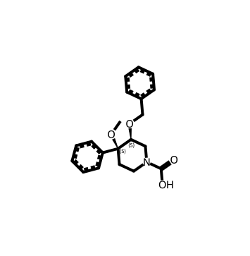 CO[C@]1(c2ccccc2)CCN(C(=O)O)C[C@@H]1OCc1ccccc1